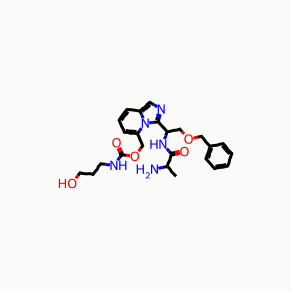 CC(N)C(=O)NC(COCc1ccccc1)c1ncc2cccc(COC(=O)NCCCO)n12